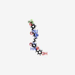 O=C(CC1CCC(O)CC1)Nc1ccn(CCCCn2cc(C(=O)NCc3cccc(OC(F)(F)F)c3)nn2)c(=O)c1